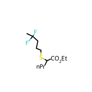 CCCC(SCCCC(C)(F)F)C(=O)OCC